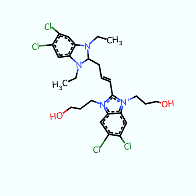 CCN1c2cc(Cl)c(Cl)cc2N(CC)C1CC=Cc1n(CCCO)c2cc(Cl)c(Cl)cc2[n+]1CCCO